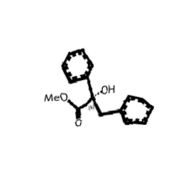 COC(=O)[C@](O)(Cc1ccccc1)c1ccccc1